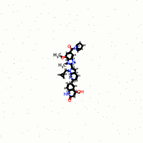 COc1cc(C(=O)N2CC3CCC2C3)cc2nc(-c3cc4ccc(-c5ccc6[nH]c(=O)cc(O)c6c5)nc4n3CC3CC3)n(C)c12